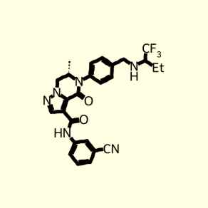 CCC(NCc1ccc(N2C(=O)c3c(C(=O)Nc4cccc(C#N)c4)cnn3C[C@@H]2C)cc1)C(F)(F)F